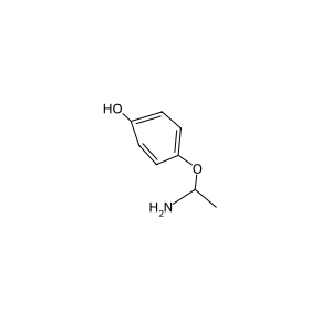 CC(N)Oc1ccc(O)cc1